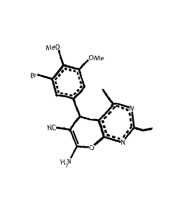 COc1cc(C2C(C#N)=C(N)Oc3nc(C)nc(C)c32)cc(Br)c1OC